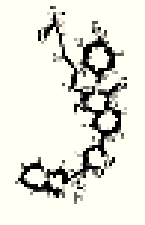 C[C@]1(c2cn3ccccc3n2)CC(c2ccc3c(=O)n(-c4ccc(F)cc4)c(CCCCC(=O)O)nc3c2)=NO1